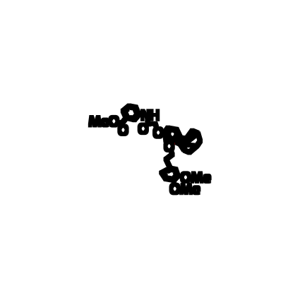 COC(=O)c1cccc(NC(=O)COc2ccc(C34CC5CC(CC(C5)C3C(=O)OCCc3ccc(OC)c(OC)c3)C4)cc2)c1